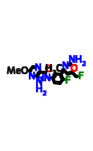 COc1cnc(C(=O)Nc2ccc(F)c([C@]3(C)C=C(CF)OC(N)=N3)c2)c(N)n1